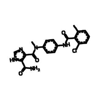 Cc1cccc(Cl)c1C(=O)Nc1ccc(N(C)C(=O)c2nc[nH]c2C(N)=O)cc1